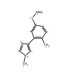 CNSc1ccc(C)c(-c2cn(C)cn2)c1